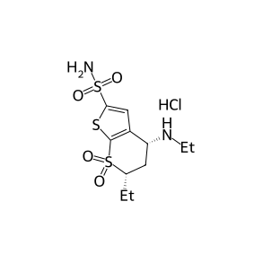 CCN[C@@H]1C[C@H](CC)S(=O)(=O)c2sc(S(N)(=O)=O)cc21.Cl